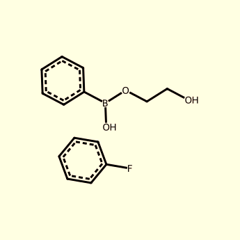 Fc1ccccc1.OCCOB(O)c1ccccc1